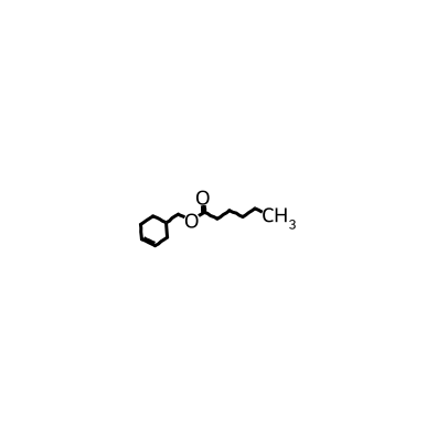 CCCCCC(=O)OCC1CC=CCC1